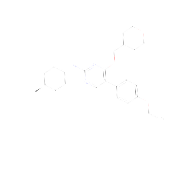 C[C@H]1CC[C@H](Nc2ncc(-c3ccc(OCC#N)cc3)c(OCC3CCOCC3)n2)CC1